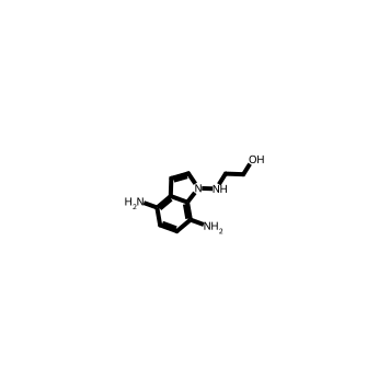 Nc1ccc(N)c2c1ccn2NCCO